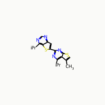 Cc1csc2nc(-c3cc4ncnc(C(C)C)c4s3)nc(C(C)C)c12